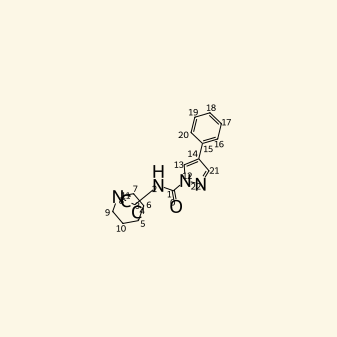 O=C(NC1CC2CCN(CC2)C1)n1cc(-c2ccccc2)cn1